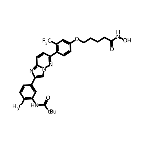 Cc1ccc(-c2cn3nc(-c4ccc(OCCCCC(=O)NO)cc4C(F)(F)F)ccc3n2)cc1NC(=O)C(C)(C)C